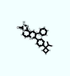 CC(C)C1(c2ccc(-c3nc4ccn5c(=O)[nH]nc5c4cc3-c3ccccc3)cc2)CCC1